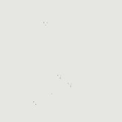 COc1cccc(N(N)CS(N)(=O)=O)c1